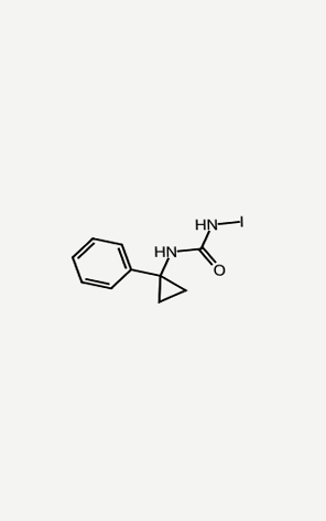 O=C(NI)NC1(c2ccccc2)CC1